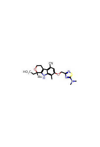 CCC(C)C1(CC(=O)O)OCCc2c1[nH]c1c(C)c(OCc3nsc(N(C)C)n3)cc(C#N)c21